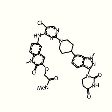 CNC(=O)COc1cc2cc(Nc3nc(N4CCC(c5ccc6c(N7CCC(=O)NC7=O)nn(C)c6c5)CC4)ncc3Cl)ccc2n(C)c1=O